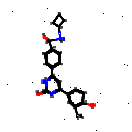 Cc1cc(-c2cc(-c3ccc(C(=O)NC4CCC4)cc3)[nH]c(=O)n2)ccc1O